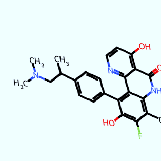 Cc1c(F)c(O)c(-c2ccc(C(C)CN(C)C)cc2)c2c1[nH]c(=O)c1c(O)ccnc12